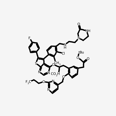 Cc1c(-c2c(-c3ccc(F)cc3)sc3ncnc(OC(Cc4cc(CC(=O)OC(C)(C)C)ccc4OCc4ccnc(OCCC(F)(F)F)n4)C(=O)O)c23)ccc(CNCCN2CCNC(=O)C2)c1Cl